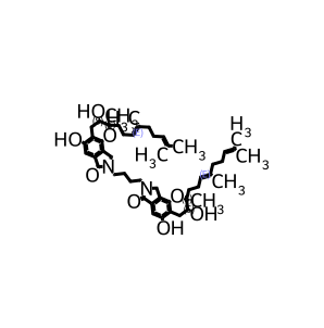 CC(C)=CCC/C(C)=C/CC[C@]1(C)Oc2c(c(O)cc3c2CN(CCCCN2Cc4c(cc(O)c5c4O[C@@](C)(CC/C=C(\C)CCC=C(C)C)[C@@H](O)C5)C2=O)C3=O)C[C@@H]1O